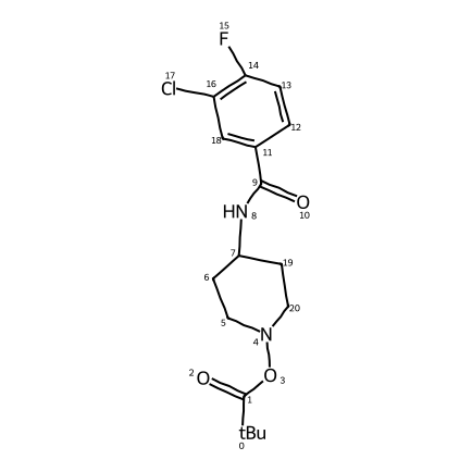 CC(C)(C)C(=O)ON1CCC(NC(=O)c2ccc(F)c(Cl)c2)CC1